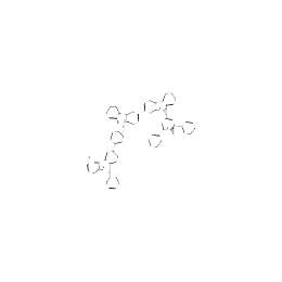 c1ccc(-c2cc(-n3c4ccccc4c4ccc(-c5ccc6c(c5)c5ccccc5n6-c5ccc(-c6ccc7c(c6)c6ncccc6n7-c6ccccc6)cc5)cc43)cc(-c3ccccc3)n2)cc1